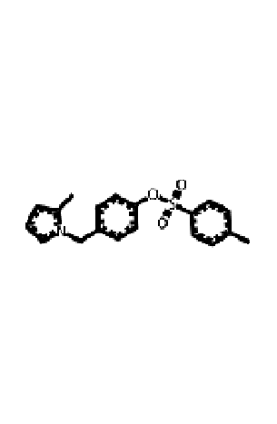 Cc1ccc(S(=O)(=O)Oc2ccc(Cn3cccc3C)cc2)cc1